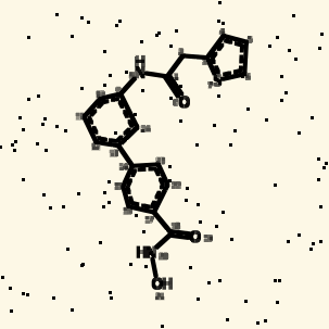 O=C(Cc1cccs1)Nc1cccc(-c2ccc(C(=O)NO)cc2)c1